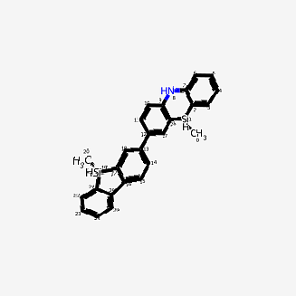 C[Si@@H]1c2ccccc2Nc2ccc(-c3ccc4c(c3)[Si@@H](C)c3ccccc3-4)cc21